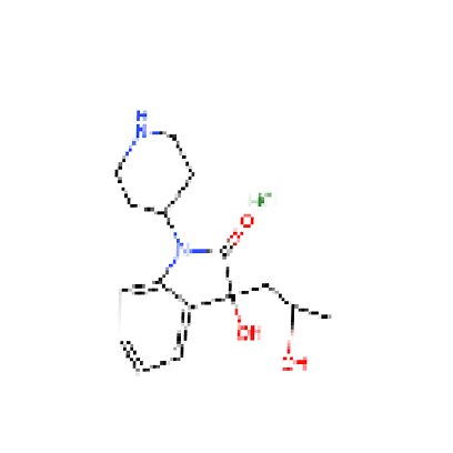 CC(O)CC1(O)C(=O)N(C2CCNCC2)c2ccccc21.Cl